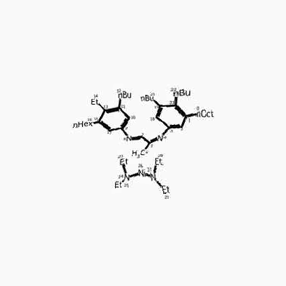 CCCCCCCCc1cc(N=C(C)C=Nc2cc(CCCC)c(CC)c(CCCCCC)c2)cc(CCCC)c1CCCC.CC[N](CC)[Ni][N](CC)CC